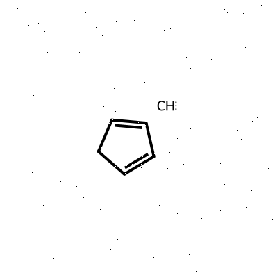 C1=CCC=C1.[CH]